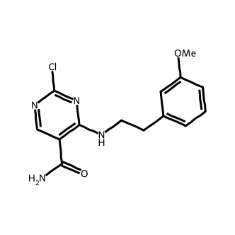 COc1cccc(CCNc2nc(Cl)ncc2C(N)=O)c1